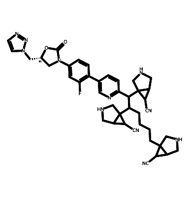 N#CC1C2CNCC12CCCCC(C(c1ccc(-c2ccc(N3C[C@H](Cn4ccnn4)OC3=O)cc2F)cn1)C12CNCC1C2C#N)C12CNCC1C2C#N